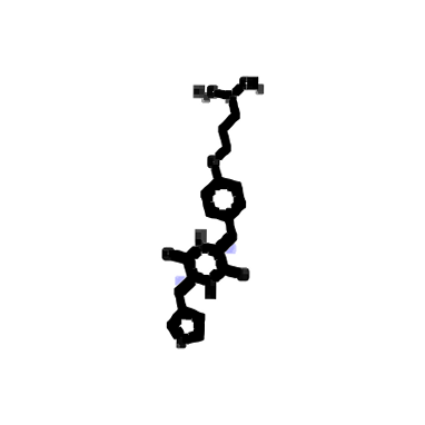 CN(C)CCCOc1ccc(/C=c2\[nH]c(=O)/c(=C/c3ccsc3)[nH]c2=O)cc1